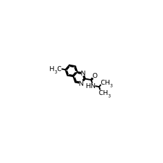 Cc1ccc2nc(C(=O)NC(C)C)ncc2c1